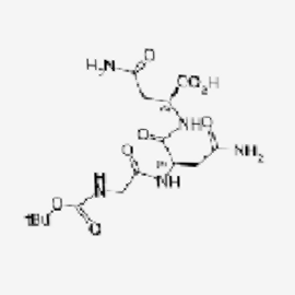 CC(C)(C)OC(=O)NCC(=O)N[C@H](CC(N)=O)C(=O)N[C@@H](CC(N)=O)C(=O)O